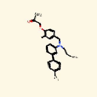 COC(=O)COc1ccc(CN(CCSC)c2cccc(-c3ccc(C(F)(F)F)cc3)c2)cc1C